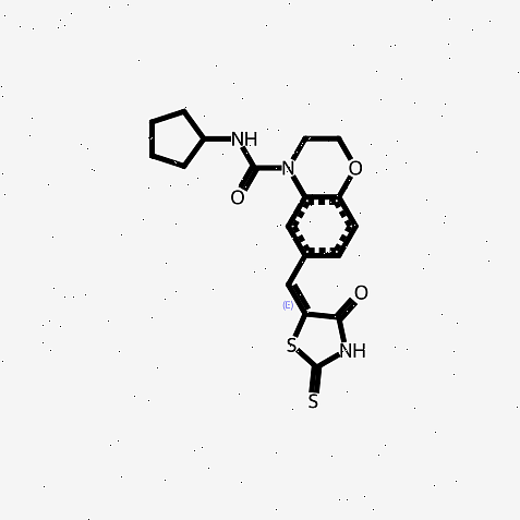 O=C1NC(=S)S/C1=C/c1ccc2c(c1)N(C(=O)NC1CCCC1)CCO2